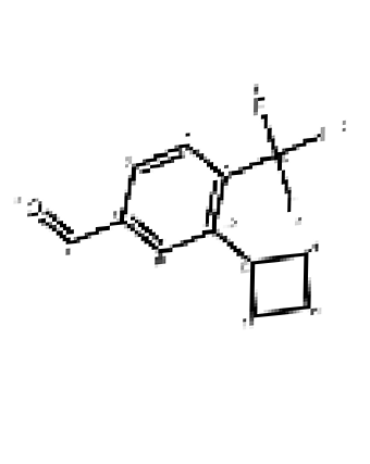 O=Cc1ccc(C(F)(F)F)c(C2CCC2)c1